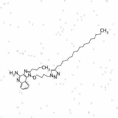 CCCCCCCCCCCCCCCCCc1cn(CCCCOn2c(CCCC)nc3c(N)nc4ccccc4c32)nn1